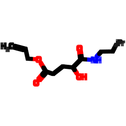 C=CCOC(=O)CCC(O)C(=O)NCCC(C)C